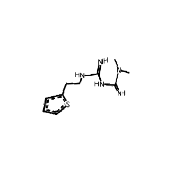 CN(C)C(=N)NC(=N)NCCc1cccs1